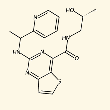 CC(Nc1nc(C(=O)NC[C@@H](C)O)c2sccc2n1)c1ccccn1